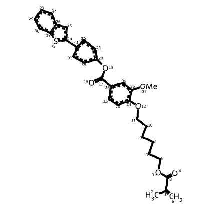 C=C(C)C(=O)OCCCCCCOc1ccc(C(=O)Oc2ccc(-c3cc4ccccc4s3)cc2)cc1OC